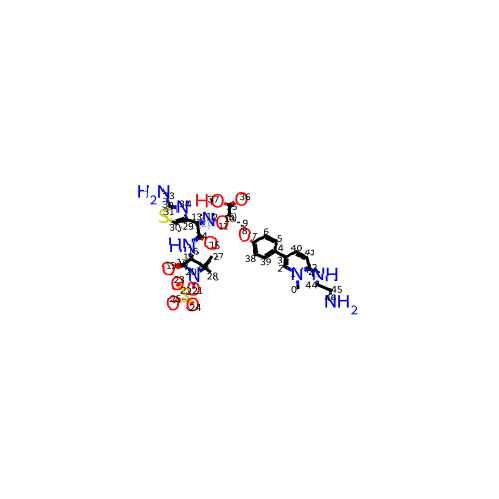 C[n+]1cc(-c2ccc(OC[C@H](O/N=C(\C(=O)NC3C(=O)N(OS(=O)(=O)[O-])C3(C)C)c3csc(N)n3)C(=O)O)cc2)ccc1NCCN